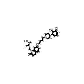 CCN(C)C(=O)OCN1C(=O)CCc2ccc(OCCCCN3CCN(c4cccc(Cl)c4Cl)CC3)cc21